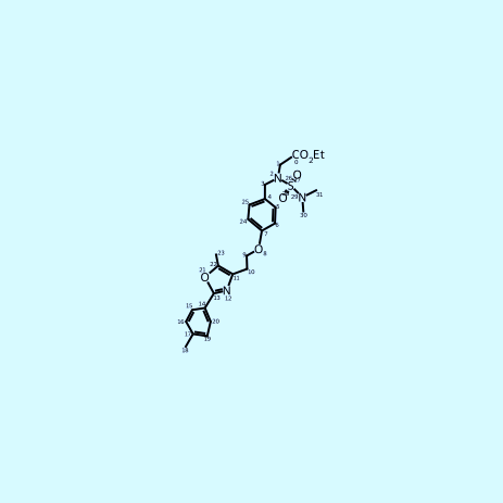 CCOC(=O)CN(Cc1ccc(OCCc2nc(-c3ccc(C)cc3)oc2C)cc1)S(=O)(=O)N(C)C